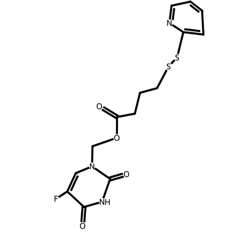 O=C(CCCSSc1ccccn1)OCn1cc(F)c(=O)[nH]c1=O